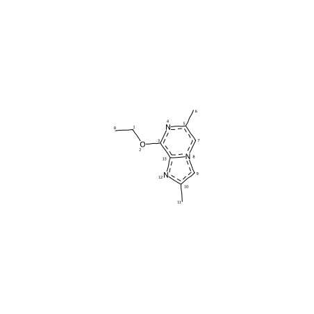 CCOc1nc(C)cn2cc(C)nc12